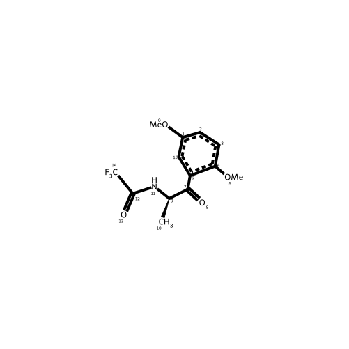 COc1ccc(OC)c(C(=O)[C@@H](C)NC(=O)C(F)(F)F)c1